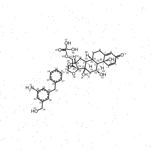 C[C@]12C=CC(=O)C=C1CC[C@@H]1[C@@H]2[C@@H](O)C[C@@]2(C)[C@H]1C[C@H]1O[C@@H](c3cccc(Cc4cc(N)cc(CO)c4)c3)O[C@]12C(=O)COP(=O)(O)O